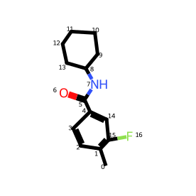 Cc1ccc(C(=O)NC2CCCCC2)cc1F